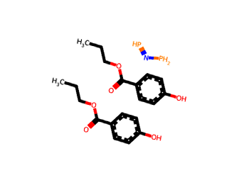 CCCOC(=O)c1ccc(O)cc1.CCCOC(=O)c1ccc(O)cc1.P=NP